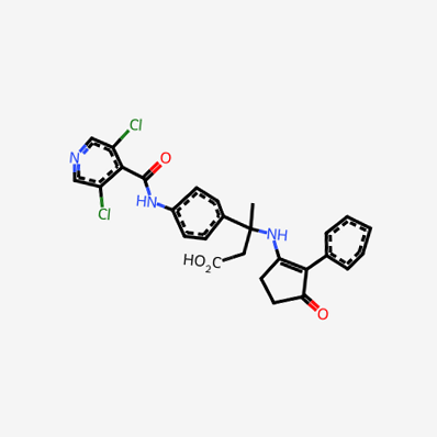 CC(CC(=O)O)(NC1=C(c2ccccc2)C(=O)CC1)c1ccc(NC(=O)c2c(Cl)cncc2Cl)cc1